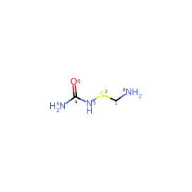 NCSNC(N)=O